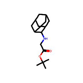 CC(C)(C)OC(=O)CNC1C2CC3CC(C2)CC1C3